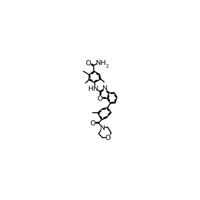 Cc1cc(-c2cccc3nc(Nc4c(C)cc(C(N)=O)c(C)c4C)oc23)ccc1C(=O)N1CCOCC1